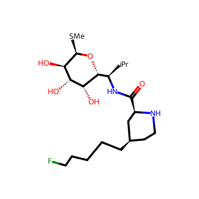 CS[C@H]1O[C@H]([C@H](NC(=O)[C@@H]2C[C@H](CCCCCF)CCN2)C(C)C)[C@H](O)[C@H](O)[C@H]1O